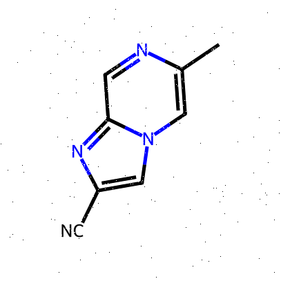 Cc1cn2cc(C#N)nc2cn1